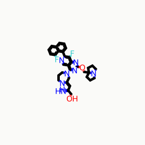 N=C(/C=C1/CN(c2nc(OCC34CCCN3CCC4)nc3c(F)c(-c4cccc5cccc(F)c45)ncc23)CCCN1)CO